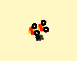 [O-]P([O-])([S-])=S(C1CCCCC1)C1CCCCC1.[O-]P([O-])([S-])=S(C1CCCCC1)C1CCCCC1.[Zn+2].[Zn+2].[Zn+2]